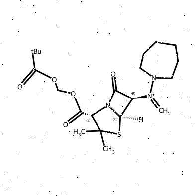 C=[N+]([C@@H]1C(=O)N2[C@@H]1SC(C)(C)[C@@H]2C(=O)OCOC(=O)C(C)(C)C)N1CCCCCC1